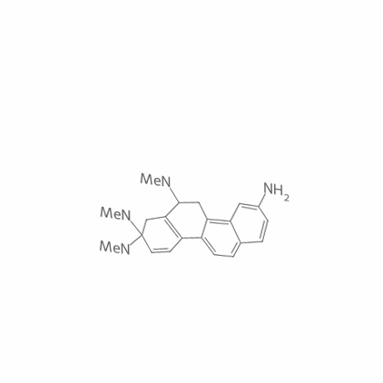 CNC1Cc2c(ccc3ccc(N)cc23)C2=C1CC(NC)(NC)C=C2